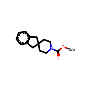 CC(C)(C)OC(=O)N1CCC2(CC1)Cc1ccccc1C2